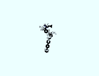 C=C(/C=C(\C=C/C)c1n[nH]c2ccc(NC(=O)[C@]3(CC)CCN(CC(=O)N4CCC(c5ccc(-c6ncccn6)cc5)CC4)C3)cc12)C1CC1